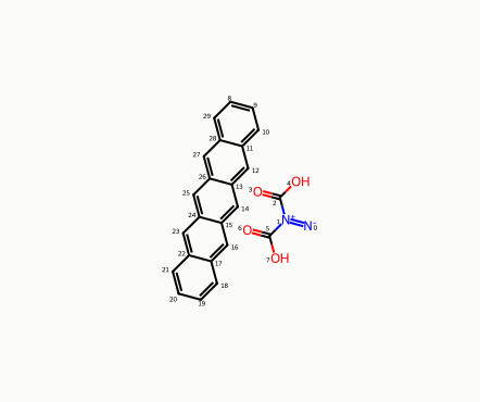 [N-]=[N+](C(=O)O)C(=O)O.c1ccc2cc3cc4cc5ccccc5cc4cc3cc2c1